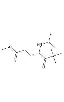 COC(=O)CC[C@H](NC(C)C)C(=O)C(C)(C)C